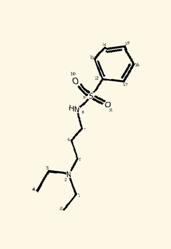 CCN(CC)CCCNS(=O)(=O)c1ccccc1